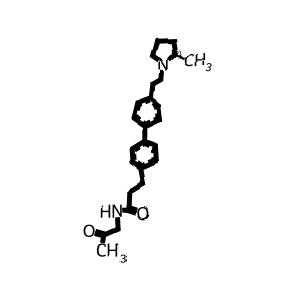 CC(=O)CNC(=O)CCc1ccc(-c2ccc(CCN3CCC[C@H]3C)cc2)cc1